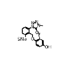 CSc1cccc(-n2nnn(C)c2=O)c1COc1ccc(O)cc1F